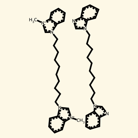 C[n+]1cn(CCCCCCCCCCn2c[n+](C)c3ccccc32)c2ccccc21.c1ccc2c(c1)ncn2CCCCCCCCCCn1cnc2ccccc21